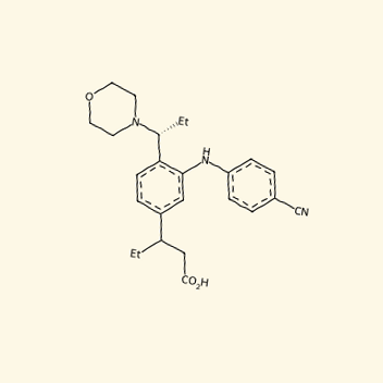 CCC(CC(=O)O)c1ccc([C@@H](CC)N2CCOCC2)c(Nc2ccc(C#N)cc2)c1